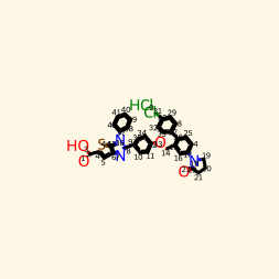 Cl.O=C(O)c1cc2nc(-c3ccc(OCc4cc(N5CCCC5=O)ccc4-c4ccc(Cl)cc4)cc3)n(-c3ccccc3)c2s1